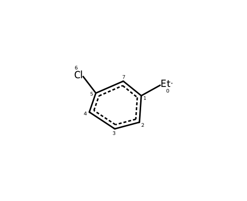 C[CH]c1cccc(Cl)c1